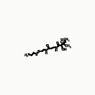 CCC(C)(C)C(O)C(=O)NCCC(=O)NCCSSCCN